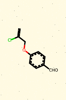 C=C(Cl)COc1ccc(C=O)cc1